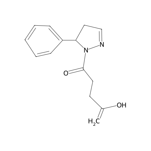 C=C(O)CCC(=O)N1N=CCC1c1ccccc1